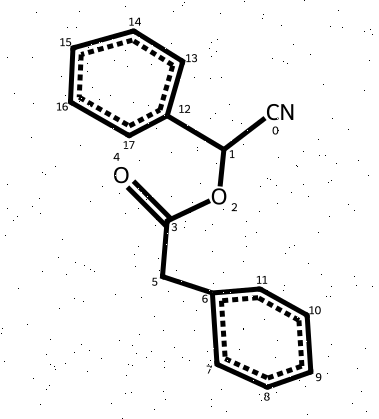 N#CC(OC(=O)Cc1ccccc1)c1ccccc1